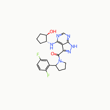 O=C(c1n[nH]c2ncnc(N[C@@H]3CCC[C@H]3O)c12)N1CCCC1c1cc(F)ccc1F